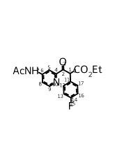 CCOC(=O)C(C(=O)c1cc(NC(C)=O)ccn1)c1ccc(F)cc1